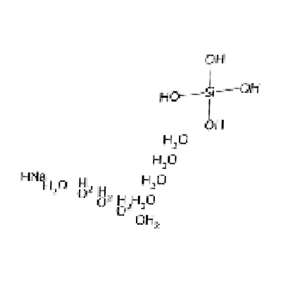 O.O.O.O.O.O.O.O.O.O[Si](O)(O)O.[NaH]